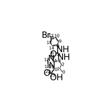 CCCC(NC(=O)Nc1ccc(Br)cc1)c1nccn1CC(=O)O